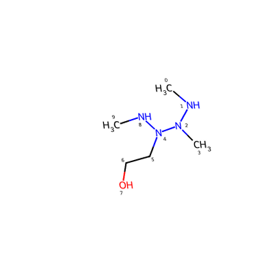 CNN(C)N(CCO)NC